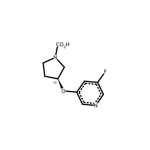 O=C(O)N1CC[C@H](Oc2cncc(F)c2)C1